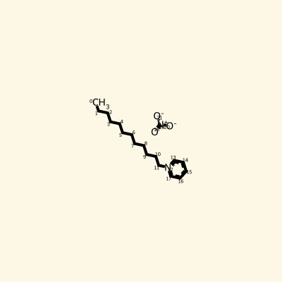 CCCCCCCCCCCC[n+]1ccccc1.O=[N+]([O-])[O-]